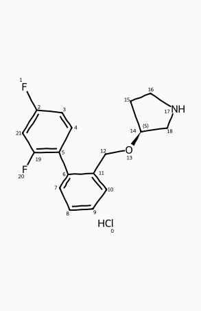 Cl.Fc1ccc(-c2ccccc2CO[C@H]2CCNC2)c(F)c1